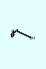 CN(CCCCCCCCCCCCO)CCC(=O)N1CCN(C)CC1